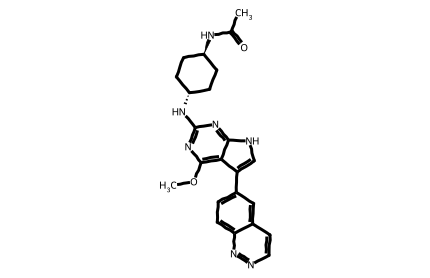 COc1nc(N[C@H]2CC[C@H](NC(C)=O)CC2)nc2[nH]cc(-c3ccc4nnccc4c3)c12